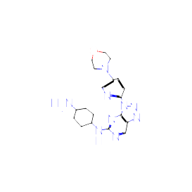 NC1CCC(Nc2ncc3nnn(-c4ccc(N5CCOCC5)cn4)c3n2)CC1